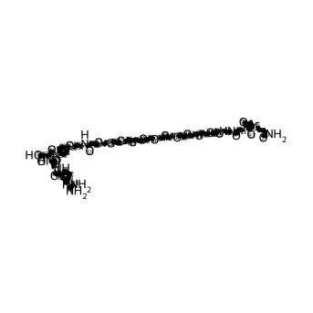 NC(=O)CCSC1CC(=O)N(CCC(=O)NCCOCCOCCOCCOCCOCCOCCOCCOCCOCCOCCOCCOCCC(=O)NCCCOc2ccc(NC(=O)[C@H](CC(=O)O)NC(=O)CNC(=O)c3cccc(N=C(N)N)c3)cc2)C1=O